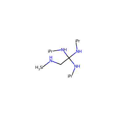 CC(C)NC(CN[SiH3])(NC(C)C)NC(C)C